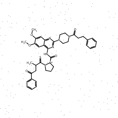 COc1cc2nc(N3CCN(C(=O)CCc4ccccc4)CC3)nc(NC(=O)[C@H]3CCCN3C(=S)C(C)CC(=O)c3ccccc3)c2cc1OC